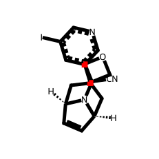 N#C[C@@]1(c2cncc(I)c2)C[C@H]2C=C[C@@H](C1)N2C1COC1